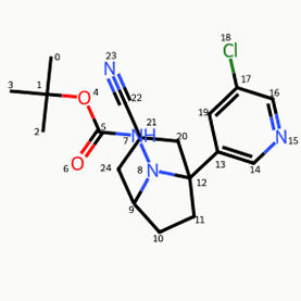 CC(C)(C)OC(=O)NN1C2CCC1(c1cncc(Cl)c1)CC(C#N)C2